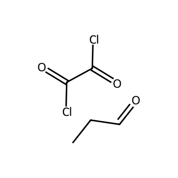 CCC=O.O=C(Cl)C(=O)Cl